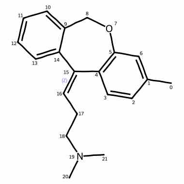 Cc1ccc2c(c1)OCc1ccccc1/C2=C/CCN(C)C